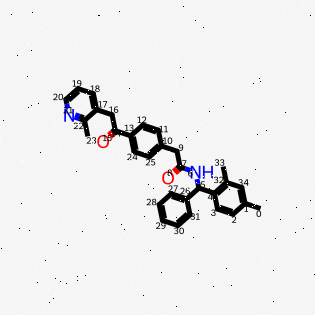 Cc1ccc(C(NC(=O)Cc2ccc(C(=O)Cc3cccnc3C)cc2)c2ccccc2)c(C)c1